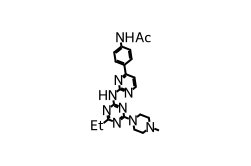 CCc1nc(Nc2nccc(-c3ccc(NC(C)=O)cc3)n2)nc(N2CCN(C)CC2)n1